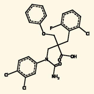 NC(=O)N(CC(COc1ccccc1)(Cc1c(F)cccc1Cl)C(=O)O)c1ccc(Cl)c(Cl)c1